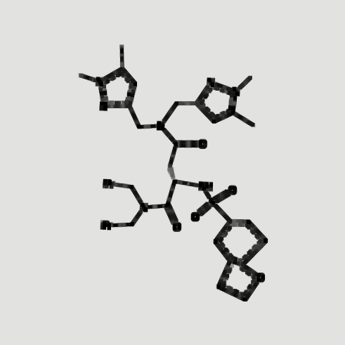 Cc1cc(CN(Cc2cc(C)n(C)n2)C(=O)C[C@H](NS(=O)(=O)c2ccc3occc3c2)C(=O)N(CC(C)C)CC(C)C)nn1C